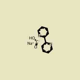 O=[C-]O.[Na+].c1ccc(-c2ccccn2)nc1